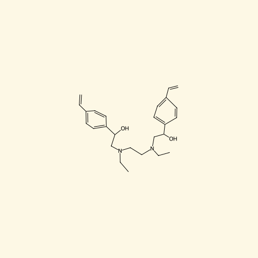 C=Cc1ccc(C(O)CN(CC)CCN(CC)CC(O)c2ccc(C=C)cc2)cc1